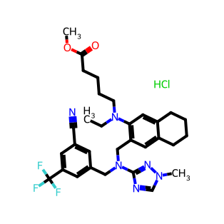 CCN(CCCCC(=O)OC)c1cc2c(cc1CN(Cc1cc(C#N)cc(C(F)(F)F)c1)c1ncn(C)n1)CCCC2.Cl